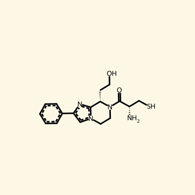 N[C@@H](CS)C(=O)N1CCn2cc(-c3ccccc3)nc2[C@@H]1CCO